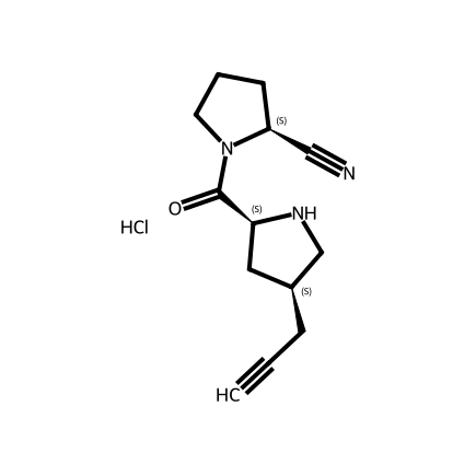 C#CC[C@@H]1CN[C@H](C(=O)N2CCC[C@H]2C#N)C1.Cl